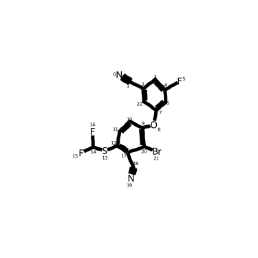 N#Cc1cc(F)cc(Oc2ccc(SC(F)F)c(C#N)c2Br)c1